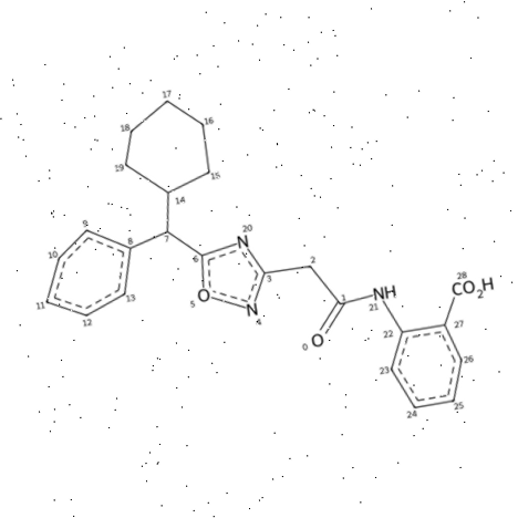 O=C(Cc1noc(C(c2ccccc2)C2CCCCC2)n1)Nc1ccccc1C(=O)O